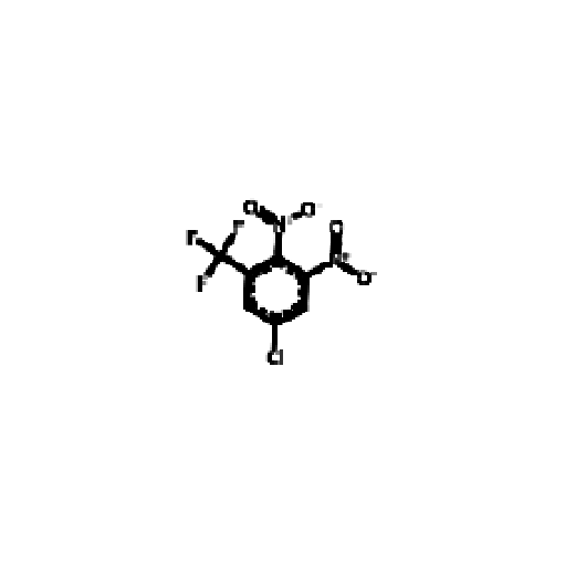 O=[N+]([O-])c1cc(Cl)cc(C(F)(F)F)c1[N+](=O)[O-]